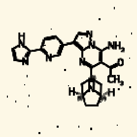 CC(=O)c1c([C@H]2C[C@H]3CC[C@@H](C2)N3)nc2c(-c3ccc(-c4ncc[nH]4)nc3)cnn2c1N